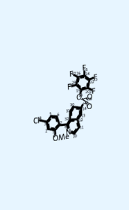 COc1cc(Cl)ccc1-c1nccc2cc(S(=O)(=O)Oc3c(F)c(F)c(F)c(F)c3F)ccc12